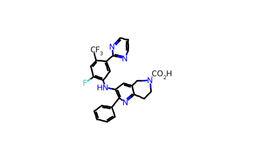 O=C(O)N1CCc2nc(-c3ccccc3)c(Nc3cc(-c4ncccn4)c(C(F)(F)F)cc3F)cc2C1